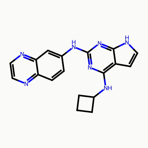 c1cnc2cc(Nc3nc(NC4CCC4)c4cc[nH]c4n3)ccc2n1